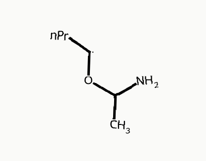 CCC[CH]OC(C)N